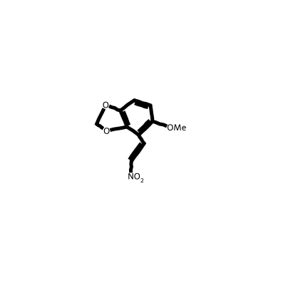 COc1ccc2c(c1C=C[N+](=O)[O-])OCO2